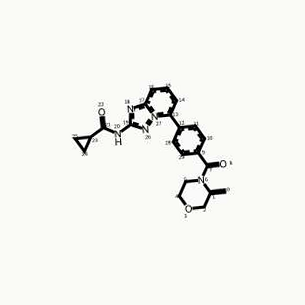 C=C1COCCN1C(=O)c1ccc(-c2cccc3nc(NC(=O)C4CC4)nn23)cc1